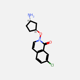 N[C@H]1CC[C@H](On2ccc3ccc(Cl)cc3c2=O)C1